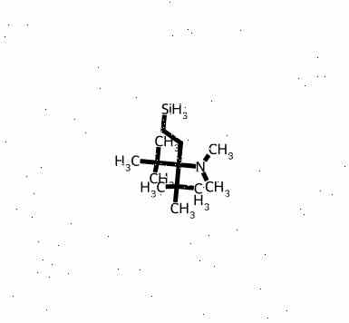 CN(C)C(CC[SiH3])(C(C)(C)C)C(C)(C)C